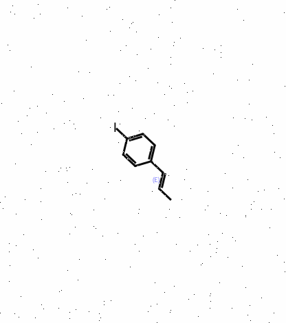 C/C=C/c1ccc(I)cc1